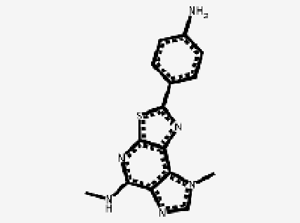 CNc1nc2sc(-c3ccc(N)cc3)nc2c2c1ncn2C